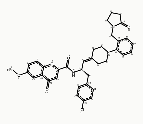 CCCOc1ccc2oc(C(=O)N[C@@H](C=C3CCN(c4ccccc4CN4CCCC4=O)CC3)Cc3ccc(Cl)cc3)cc(=O)c2c1